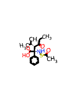 CCC(=O)[C@@H](C(C)C)[C@](NSC(C)=O)(C(=O)O)c1ccccc1